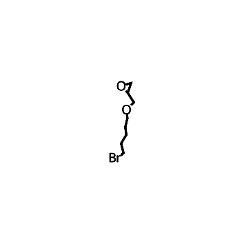 BrCCCCCOCC1CO1